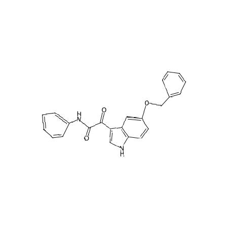 O=C(Nc1ccccc1)C(=O)c1c[nH]c2ccc(OCc3ccccc3)cc12